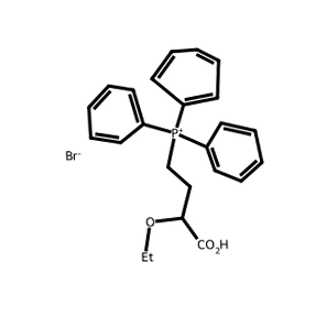 CCOC(CC[P+](c1ccccc1)(c1ccccc1)c1ccccc1)C(=O)O.[Br-]